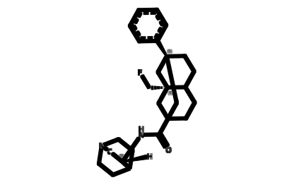 O=C(N[C@H]1CN2CCC1CC2)C12CCC3CC[C@](c4ccccc4)(C1)C[C@]3(CF)C2